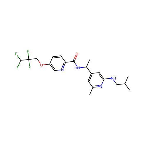 Cc1cc(C(C)NC(=O)c2ccc(OCC(F)(F)C(F)F)cn2)cc(NCC(C)C)n1